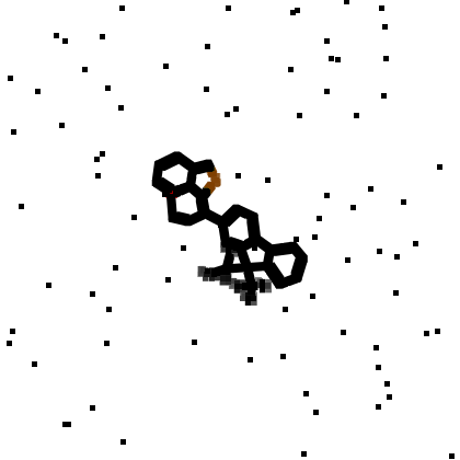 [2H]C([2H])([2H])C1(C([2H])([2H])[2H])c2ccccc2-c2ccc(C3=C4SC=C5C=CC=CC54CC=C3)cc21